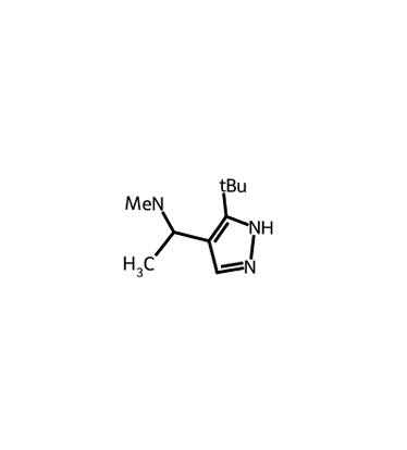 CNC(C)c1cn[nH]c1C(C)(C)C